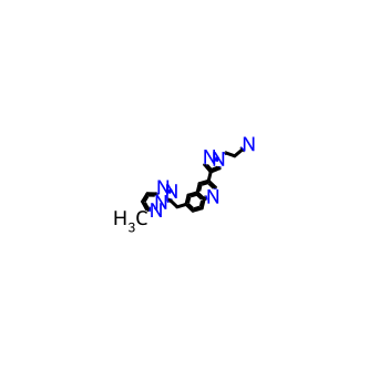 Cc1ccc2nnc(Cc3ccc4ncc(-c5cnn(CCC#N)c5)cc4c3)n2n1